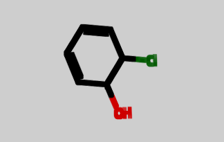 O[C]1C=CC=CC1Cl